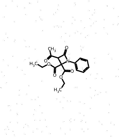 CCOC(=O)C1(C(=O)OCC)C(C(C)=O)C(=O)N1c1ccccc1